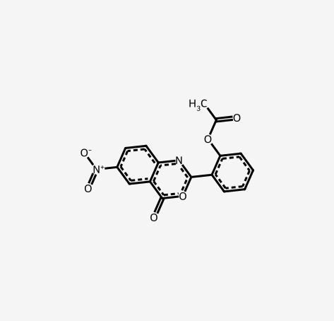 CC(=O)Oc1ccccc1-c1nc2ccc([N+](=O)[O-])cc2c(=O)o1